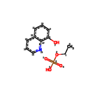 CCOS(=O)(=O)O.Oc1cccc2cccnc12